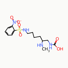 CNC(CCCCNS(=O)(=O)c1ccccc1[N+](=O)[O-])CNC(=O)O